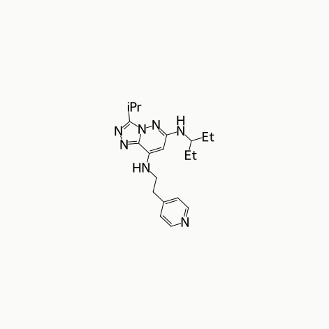 CCC(CC)Nc1cc(NCCc2ccncc2)c2nnc(C(C)C)n2n1